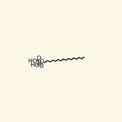 CCCCCCCCCCCCCCCCOP(=O)(O)C(=O)O